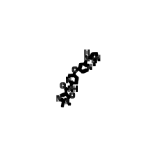 Cc1ncc(C(=O)Nc2ccc(Oc3ccnc(Nc4ccnn4C)c3)cn2)c(=O)n1C